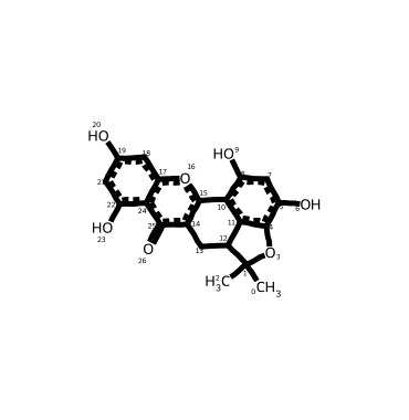 CC1(C)Oc2c(O)cc(O)c3c2C1Cc1c-3oc2cc(O)cc(O)c2c1=O